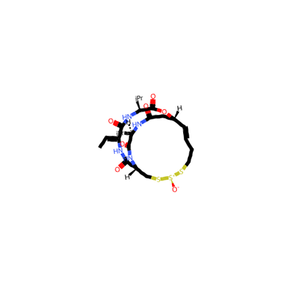 C/C=C1\NC(=O)[C@H]2CS[S@+]([O-])SCC/C=C/[C@H](CC(=O)N[C@H](C(C)C)C(=O)N2)OC(=O)[C@H](C(C)C)NC1=O